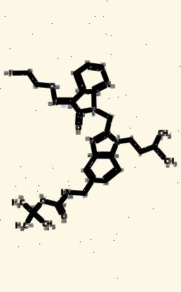 CC(C)CCn1c(CN2C(=O)/C(=N/OCCF)c3cccnc32)nc2cc(CNC(=O)OC(C)(C)C)ccc21